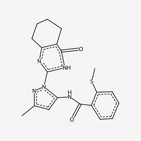 CSc1ccccc1C(=O)Nc1cc(C)nn1-c1nc2c(c(=O)[nH]1)CCCC2